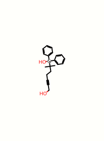 CC(C)(CCC#CCO)[Si](O)(c1ccccc1)c1ccccc1